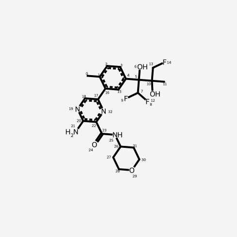 Cc1ccc(C(O)(C(F)F)C(C)(O)CF)cc1-c1cnc(N)c(C(=O)NC2CCOCC2)n1